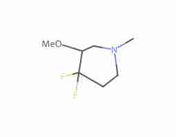 COC1CN(C)CCC1(F)F